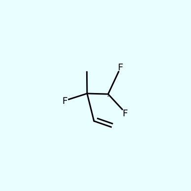 C=CC(C)(F)[C](F)F